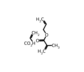 C=CC(=O)O.C=CCOC(=O)C(=C)C